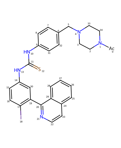 CC(=O)N1CCN(Cc2ccc(NC(=S)Nc3ccc(I)c(-c4nccc5ccccc45)c3)cc2)CC1